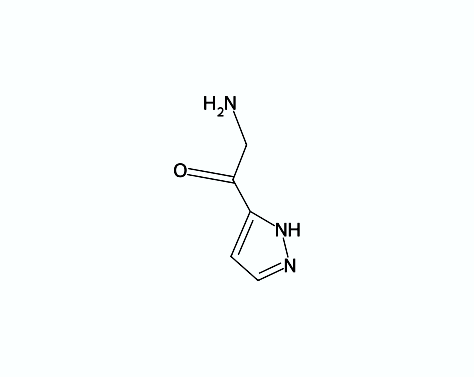 NCC(=O)c1ccn[nH]1